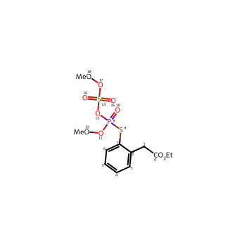 CCOC(=O)Cc1ccccc1SP(=O)(OOC)OS(=O)(=O)OOC